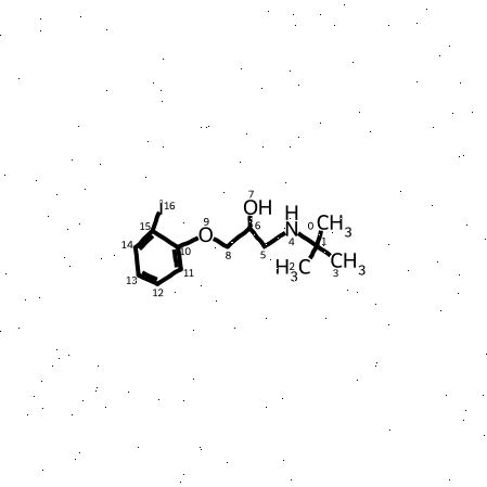 CC(C)(C)NCC(O)COc1ccccc1I